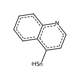 [SnH][c]1ccnc2ccccc12